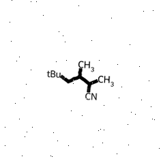 CC(C#N)C(C)CC(C)(C)C